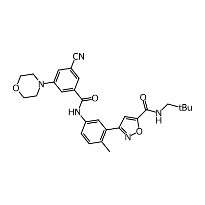 Cc1ccc(NC(=O)c2cc(C#N)cc(N3CCOCC3)c2)cc1-c1cc(C(=O)NCC(C)(C)C)on1